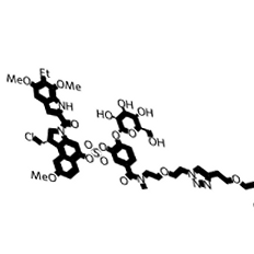 CCc1c(OC)cc2cc(C(=O)N3C[C@@H](CCl)c4c3cc(OS(=O)(=O)Oc3cc(C(=O)N(C)CCOCCn5cc(CCOCCN6C(=O)C=CC6=O)nn5)ccc3O[C@@H]3O[C@H](CO)[C@H](O)[C@H](O)[C@H]3O)c3ccc(OC)cc43)[nH]c2c1OC